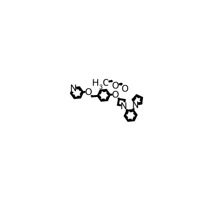 CCOC=O.c1cncc(OCc2ccc(OC3CN(c4ccccc4-n4cccc4)C3)cc2)c1